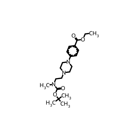 CCOC(=O)c1ccc(N2CCN(CCN(C)C(=O)OC(C)(C)C)CC2)cc1